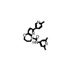 Cc1ccc(-c2ccc3c(n2)N(C(=O)Nc2cc(C)nc(C)c2)CCCO3)cn1